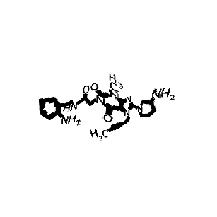 CC#CCn1c(N2CCCC(N)C2)nc2c1c(=O)n(CC(=O)NCc1ccccc1N)c(=O)n2C